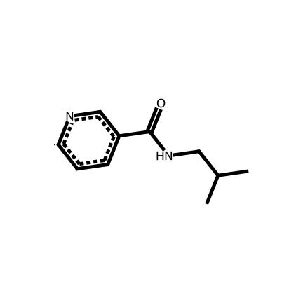 CC(C)CNC(=O)c1cc[c]nc1